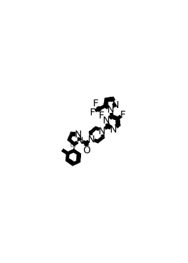 CC1C=CC=CC1[C@@H]1CC=NN1C(=O)N1CCN(c2ncc(F)c(-n3nccc3C(F)(F)F)n2)CC1